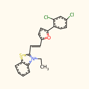 CC[n+]1c(/C=C/c2ccc(-c3ccc(Cl)cc3Cl)o2)sc2ccccc21